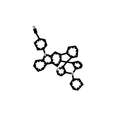 N#Cc1ccc(-n2c3ccccc3c3cc4c(cc32)-c2ccccc2C42c3ccccc3N(c3ccccc3)c3ccccc32)cc1